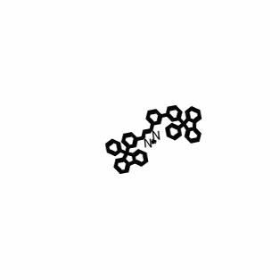 c1ccc(C2(c3cccc(-c4cccc(-c5cc(-c6cccc(C7(c8ccccc8)c8ccccc8-c8ccccc87)c6)ncn5)c4)c3)c3ccccc3-c3ccccc32)cc1